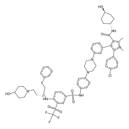 Cc1c(C(=O)N[C@H]2CC[C@H](O)CC2)c(-c2cccc(N3CCN(c4ccc(NS(=O)(=O)c5ccc(N[C@H](CCN6CCC(O)CC6)CSc6ccccc6)c(S(=O)(=O)C(F)(F)F)c5)cc4)CC3)c2)c(-c2ccc(Cl)cc2)n1C